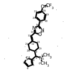 CN(C)C(c1cccs1)C1CCC(=Cc2nc(-c3ccc(OC(F)(F)F)cc3)no2)CC1